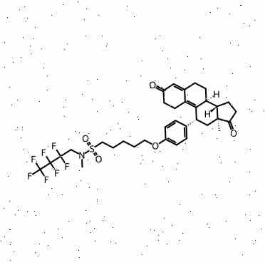 CN(CC(F)(F)C(F)(F)C(F)(F)F)S(=O)(=O)CCCCCOc1ccc([C@H]2C[C@]3(C)C(=O)CC[C@H]3[C@@H]3CCC4=CC(=O)CCC4=C32)cc1